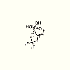 CC=C(CC(F)(F)F)OP(=O)(O)O